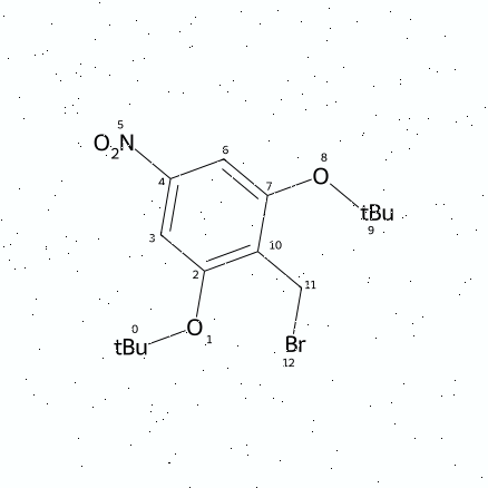 CC(C)(C)Oc1cc([N+](=O)[O-])cc(OC(C)(C)C)c1CBr